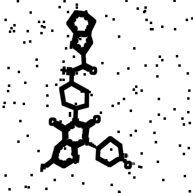 O=C(NC1CCC(n2c(=O)c3cc(F)cnc3n([C@H]3CC[S@@+]([O-])CC3)c2=O)CC1)c1cn2ccccc2n1